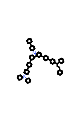 c1ccc(CCC(c2ccccc2)c2ccc(-c3ccc(-c4ccc5c(c4)c4cc(-c6ccc(-c7ccc(N(c8ccccc8)c8ccccc8)cc7)cc6)ccc4n5-c4ccc(-c5ccccc5)cc4)cc3)cc2)cc1